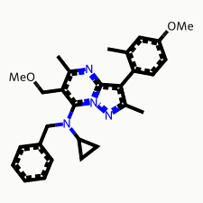 COCc1c(C)nc2c(-c3ccc(OC)cc3C)c(C)nn2c1N(Cc1ccccc1)C1CC1